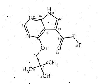 CC(C)(O)COc1ncnc2[nH]cc(C(=O)CF)c12